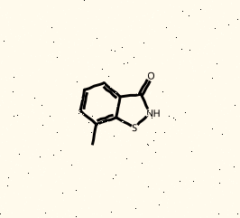 Cc1cccc2c(=O)[nH]sc12